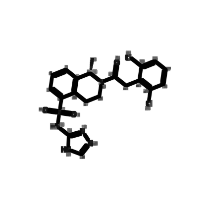 C[C@H]1c2cccc(S(=O)(=O)Nc3nnc[nH]3)c2CCN1C(=O)Cc1c(Cl)cccc1Cl